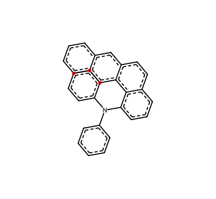 c1ccc(N(c2ccccc2)c2cccc3ccc4cc5ccccc5cc4c23)cc1